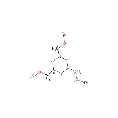 CC(C)O[SiH2]C1CC([SiH2]OC(C)C)CC([SiH2]OC(C)C)C1